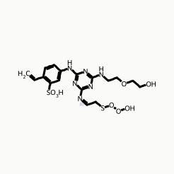 C=Cc1ccc(Nc2nc(/N=C\CSOOO)nc(NCCOCCO)n2)cc1S(=O)(=O)O